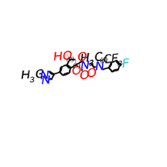 C[C@H](N(Cc1ccc(F)cc1)C(=O)CN1C(=O)O[C@]2(C[C@@H](O)c3cc(-c4cnn(C)c4)ccc32)C1=O)C(F)(F)F